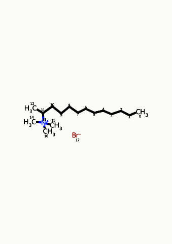 CCCCCCCCCCCC(C)[N+](C)(C)C.[Br-]